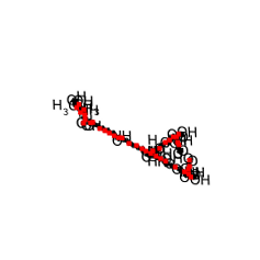 CC(C)(CC1=CN(CCC(NC(=O)CCCCCCCCCCNC(=O)CCCCCCCCCCNC(=O)C(CCCCNC(=O)COCCOCCNC(=O)C(CC(=O)O)NC(=O)CCC(=O)O)NC(=O)COCCOCCNC(=O)C(CC(=O)O)NC(=O)CCC(=O)O)C(=O)O)NN1)C(=O)O